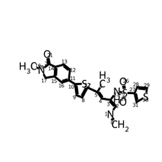 C=N/C=C(\C=C(/C)c1ccc(-c2ccc3c(c2)CN(C)C3=O)s1)NS(=O)(=O)c1ccsc1